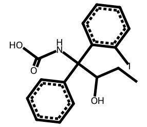 CCC(O)C(NC(=O)O)(c1ccccc1)c1ccccc1I